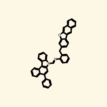 C(=N\c1ccccc1Cc1ccc2c(c1)oc1cc3ccccc3cc12)/n1c2ccccc2c2c3ccccc3c(-c3ccccc3)cc21